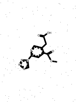 COC(=O)c1cc(-n2cnnn2)ncc1CC(=O)O